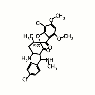 CNC(c1ccc(Cl)cc1)C1C(=O)[C@@]2(Oc3c(Cl)c(OC)cc(OC)c3C2=O)[C@H](C)CC1N